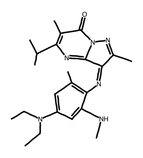 CCN(CC)c1cc(C)c(N=C2C(C)=Nn3c2nc(C(C)C)c(C)c3=O)c(NC)c1